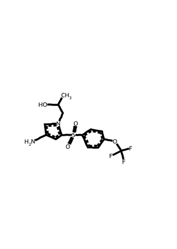 CC(O)Cn1cc(N)cc1S(=O)(=O)c1ccc(OC(F)(F)F)cc1